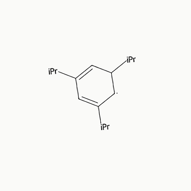 CC(C)C1=CC(C(C)C)=CC(C(C)C)[CH]1